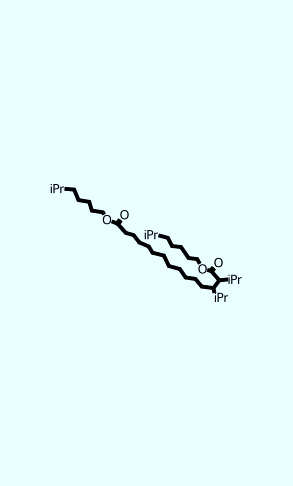 CC(C)CCCCCOC(=O)CCCCCCCCCCCC(C(C)C)C(C(=O)OCCCCCC(C)C)C(C)C